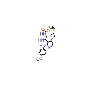 CC(C)(C)OC(=O)NCC(=N)c1c(N2CC(F)C2)ccnc1Nc1ccc(OC(F)(F)F)cc1